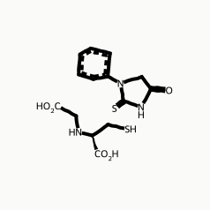 O=C(O)CN[C@@H](CS)C(=O)O.O=C1CN(c2ccccc2)C(=S)N1